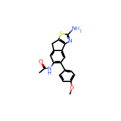 COc1ccc(-c2cc3c(cc2NC(C)=O)Cc2sc(N)nc2-3)cc1